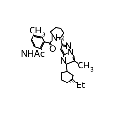 CC[C@H]1CCCC(c2nc3cc([C@@H]4CCCCN4C(=O)c4cc(C)ccc4NC(C)=O)nn3cc2C)C1